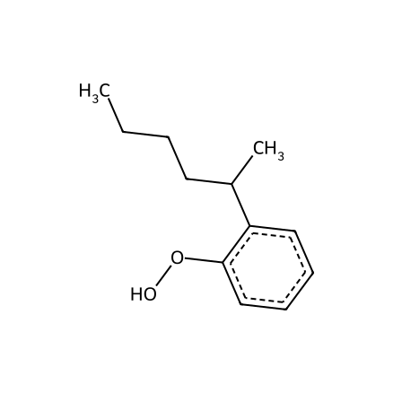 CCCCC(C)c1ccccc1OO